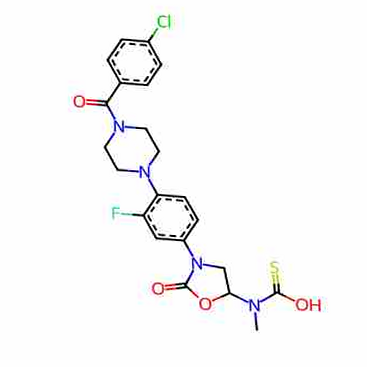 CN(C(O)=S)C1CN(c2ccc(N3CCN(C(=O)c4ccc(Cl)cc4)CC3)c(F)c2)C(=O)O1